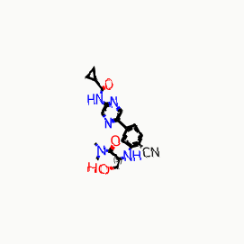 CN(C)C(=O)[C@H](CO)Nc1cc(-c2cnc(NC(=O)C3CC3)cn2)ccc1C#N